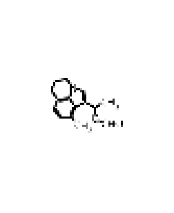 Cc1ccc2c3c1c(C(C)OC=O)cn3CCC2